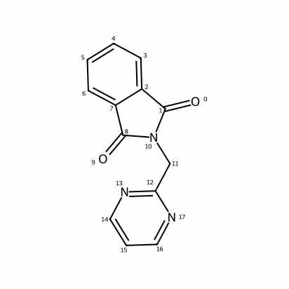 O=C1c2ccccc2C(=O)N1Cc1ncccn1